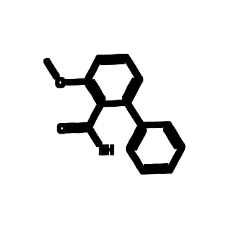 COc1cccc(-c2ccccc2)c1C(=O)S